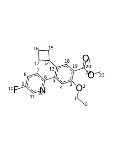 CCOc1cc(-c2ccc(F)cn2)c(C2CCC2)cc1C(=O)OC